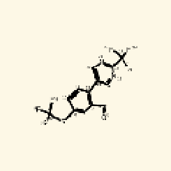 O=Cc1cc(SC(F)(F)F)ccc1-c1cnc(C(F)(F)F)nc1